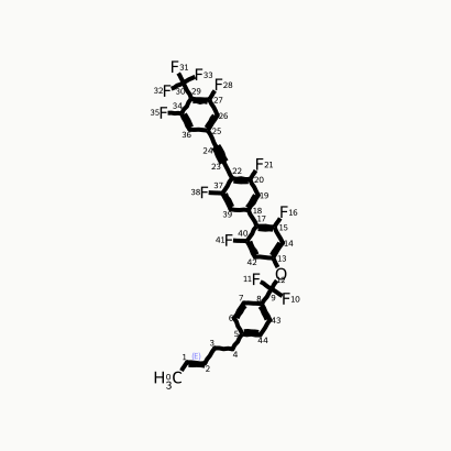 C/C=C/CCc1ccc(C(F)(F)Oc2cc(F)c(-c3cc(F)c(C#Cc4cc(F)c(C(F)(F)F)c(F)c4)c(F)c3)c(F)c2)cc1